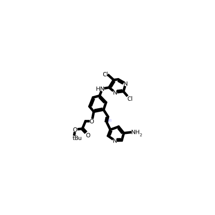 CC(C)(C)OC(=O)COc1ccc(Nc2nc(Cl)ncc2Cl)cc1/C=C/c1cncc(N)c1